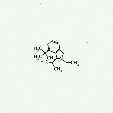 CCN1Cc2cccc(C(C)(C)C)c2C1C(C)C